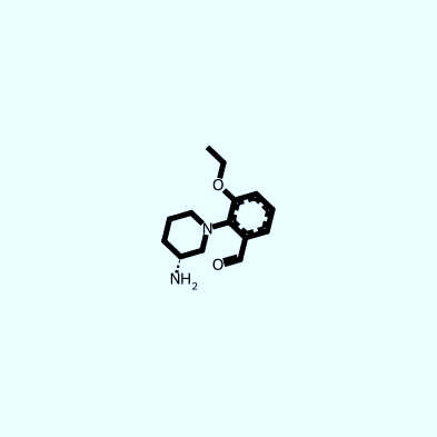 CCOc1cccc(C=O)c1N1CCC[C@@H](N)C1